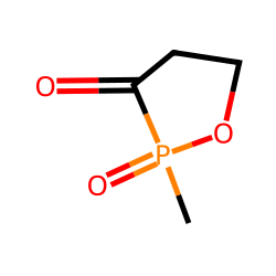 CP1(=O)OCCC1=O